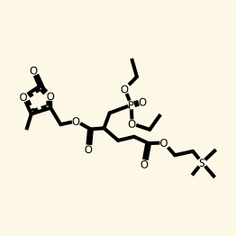 CCOP(=O)(CC(CCC(=O)OCCS(C)(C)C)C(=O)OCc1oc(=O)oc1C)OCC